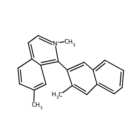 Cc1ccc2cc[n+](C)c(-c3cc4ccccc4cc3C)c2c1